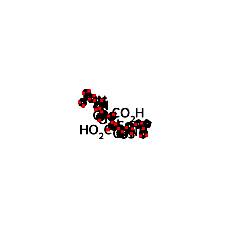 O=C(O)c1cc(-c2cc(C(=O)O)cc(-c3sc(-c4ccc(-c5ccc6c(c5)N(c5ccccc5)C5CCCC65)c5nsnc45)c4c3OCCO4)n2)nc(-c2sc(-c3ccc(-c4ccc5c(c4)N(c4ccccc4)C4CCCC54)c4nsnc34)c3c2OCCO3)c1